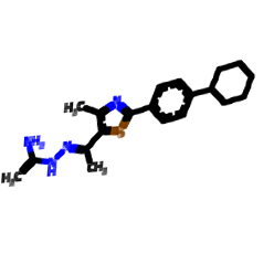 C=C(N)N/N=C(\C)c1sc(-c2ccc(C3CCCCC3)cc2)nc1C